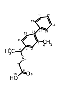 Cc1cc(C(C)SCC(=O)O)ccc1-c1ccccc1